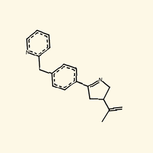 C=C(C)C1CN=C(c2ccc(Cc3ccccn3)cc2)C1